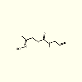 C=CCNC(=S)SCC(C)=NO